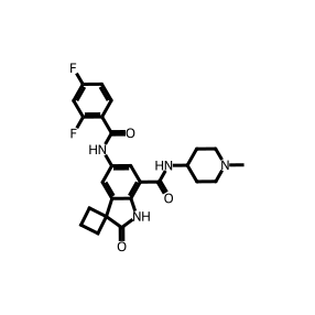 CN1CCC(NC(=O)c2cc(NC(=O)c3ccc(F)cc3F)cc3c2NC(=O)C32CCC2)CC1